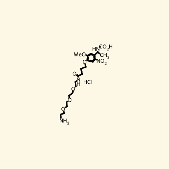 COc1cc(C(C)NC(=O)O)c([N+](=O)[O-])cc1OCCCC(=O)NCCOCCOCCOCCN.Cl